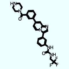 O=C(NCC(F)(F)F)Nc1cccc(-c2cnc3cc(-c4cccc(C(=O)N5CCNCC5)c4)ccn23)c1